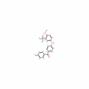 COc1ccc(Oc2ccc(C(=O)c3ccc(C)cc3)cc2)cc1C(C)(C)C